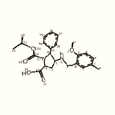 COc1ccc(C)cc1CNC1CC(C(=O)O)N(C(=O)OC(C)C)C1c1ccccc1